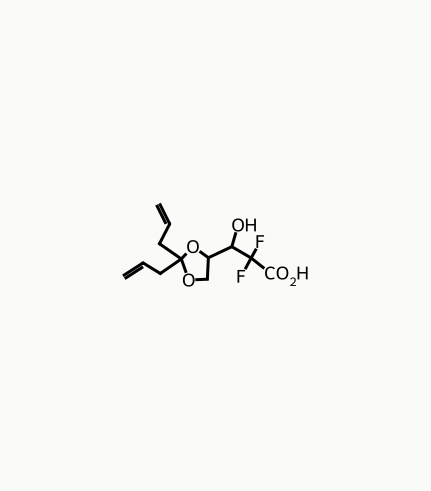 C=CCC1(CC=C)OCC(C(O)C(F)(F)C(=O)O)O1